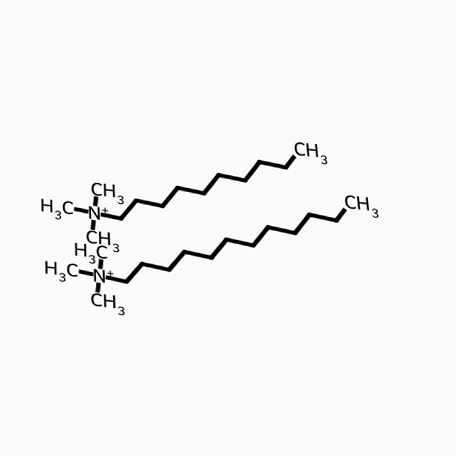 CCCCCCCCCCCC[N+](C)(C)C.CCCCCCCCCC[N+](C)(C)C